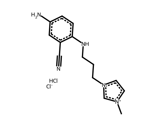 C[n+]1ccn(CCCNc2ccc(N)cc2C#N)c1.Cl.[Cl-]